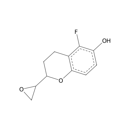 Oc1ccc2c(c1F)CCC(C1CO1)O2